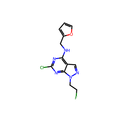 FCCn1ncc2c(NCc3ccco3)nc(Cl)nc21